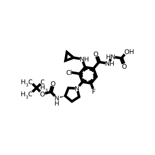 CC(C)(C)OC(=O)N[C@H]1CCN(c2c(F)cc(C(=O)NNC(=O)O)c(NC3CC3)c2Cl)C1